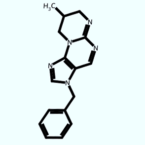 CC1CN=C2N=Cc3c(ncn3Cc3ccccc3)N2C1